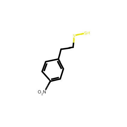 O=[N+]([O-])c1ccc(CCSS)cc1